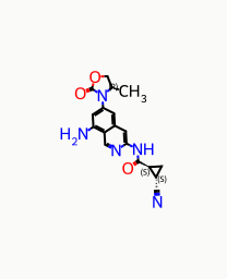 C[C@@H]1COC(=O)N1c1cc(N)c2cnc(NC(=O)[C@H]3C[C@@H]3C#N)cc2c1